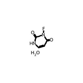 O.O=c1cc[nH]c(=O)n1F